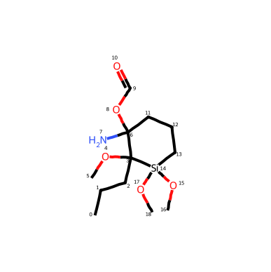 CCCC1(OC)C(N)(OC=O)CCC[Si]1(OC)OC